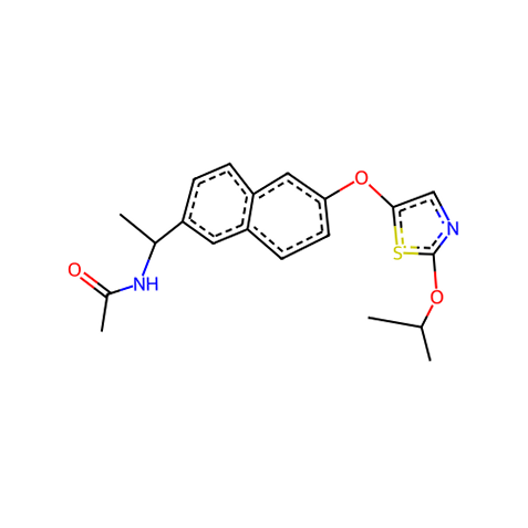 CC(=O)NC(C)c1ccc2cc(Oc3cnc(OC(C)C)s3)ccc2c1